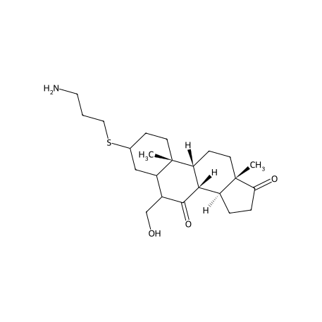 C[C@]12CCC(SCCCN)CC1C(CO)C(=O)[C@@H]1[C@H]2CC[C@]2(C)C(=O)CC[C@@H]12